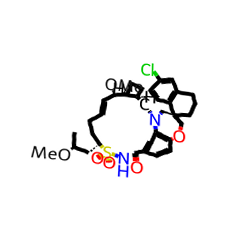 CO[C@H]1/C=C/CC[C@@H](C[C@H](C)OC)S(=O)(=O)NC(=O)c2ccc3c(c2)N(C[C@@H]2CC[C@H]21)C[C@@]1(CCCc2cc(Cl)ccc21)CO3